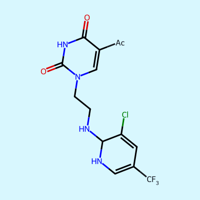 CC(=O)c1cn(CCNC2NC=C(C(F)(F)F)C=C2Cl)c(=O)[nH]c1=O